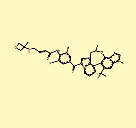 CC1Cc2cc(C(=O)c3cc(F)c(NC(=O)/C=C/CNC4(C)COC4)c(F)c3)n3cccc(c23)-c2c(C(F)(F)F)cc3c(ncn3C)c2O1